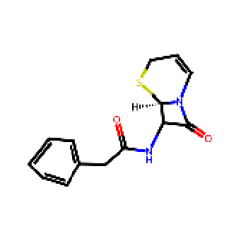 O=C(Cc1ccccc1)NC1C(=O)N2C=CCS[C@H]12